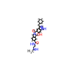 CNCCNC(=O)c1ccc2c(c1)CN(C(=O)c1cc3c(CC4CCCCC4)n[nH]c3cc1O)C2